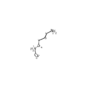 NCCCO[NH2+][O-]